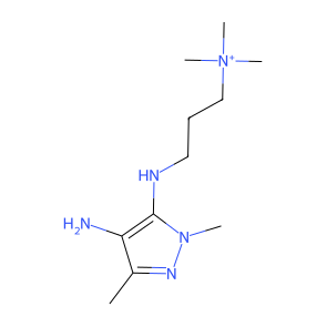 Cc1nn(C)c(NCCC[N+](C)(C)C)c1N